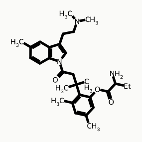 CCC(N)C(=O)Oc1cc(C)cc(C)c1C(C)(C)CC(=O)n1cc(CCN(C)C)c2cc(C)ccc21